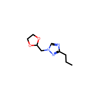 CCCc1ncn(CC2OCCO2)n1